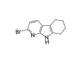 Brc1ccc2c3c([nH]c2n1)CCCC3